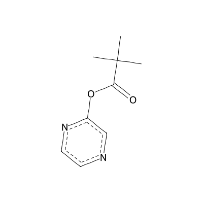 CC(C)(C)C(=O)Oc1cnccn1